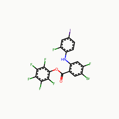 O=C(Oc1c(F)c(F)c(F)c(F)c1F)c1cc(Br)c(F)cc1Nc1ccc(I)cc1F